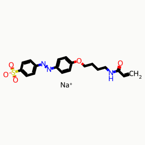 C=CC(=O)NCCCCOc1ccc(N=Nc2ccc(S(=O)(=O)[O-])cc2)cc1.[Na+]